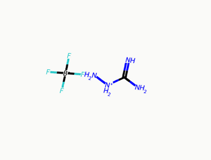 F[B-](F)(F)F.N=C(N)[NH2+]N